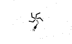 CCP(CC)(CC)(CC)SC#N